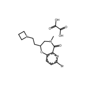 CN1CC(CCN2CCC2)Oc2ccc(Br)nc2C1=O.O=C(O)C(=O)O